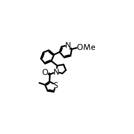 COc1ccc(-c2ccccc2C2CCCN2C(=O)c2sccc2C)cn1